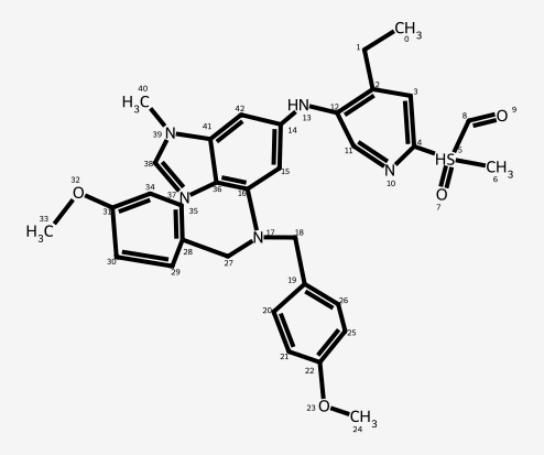 CCc1cc([SH](C)(=O)C=O)ncc1Nc1cc(N(Cc2ccc(OC)cc2)Cc2ccc(OC)cc2)c2ncn(C)c2c1